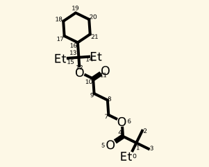 CCC(C)(C)C(=O)OCCCC(=O)OC(CC)(CC)C1CCCCC1